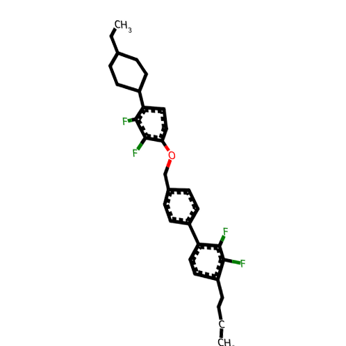 CCCCc1ccc(-c2ccc(COc3ccc(C4CCC(CC)CC4)c(F)c3F)cc2)c(F)c1F